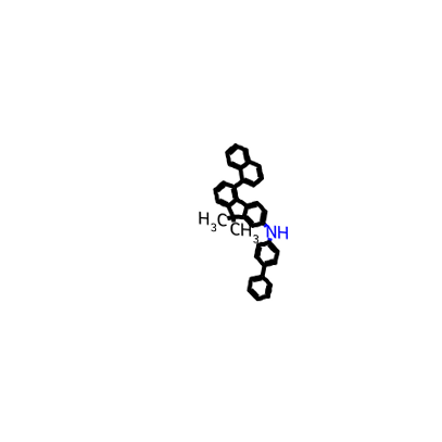 CC1(C)c2cc(Nc3ccc(-c4ccccc4)cc3)ccc2-c2c(-c3cccc4ccccc34)cccc21